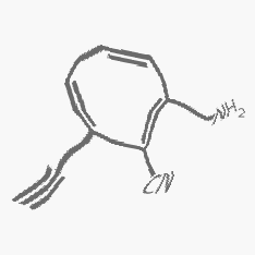 C#Cc1cccc(N)c1C#N